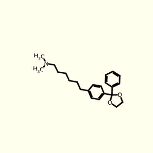 CN(C)CCCCCCc1ccc(C2(c3ccccc3)OCCO2)cc1